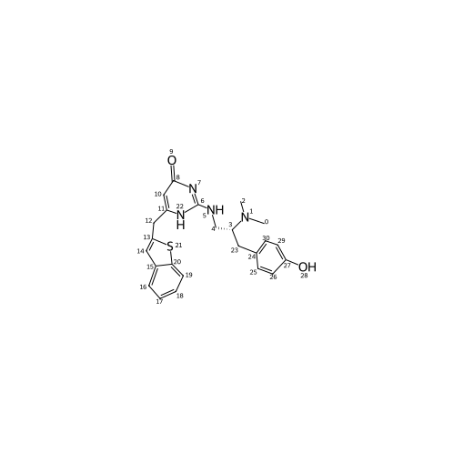 CN(C)[C@@H](CNc1nc(=O)cc(Cc2cc3ccccc3s2)[nH]1)Cc1ccc(O)cc1